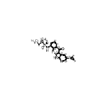 CCN(C)S(=O)(=O)Nc1cccc(C(=O)c2c[nH]c3ncc(C4CC4)cc23)c1F